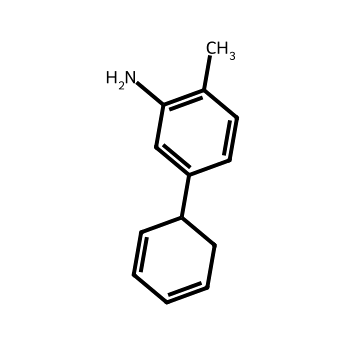 Cc1ccc(C2C=CC=CC2)cc1N